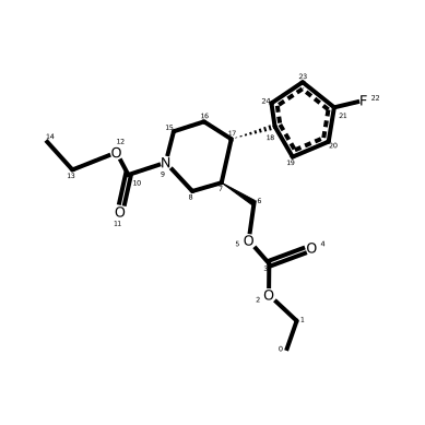 CCOC(=O)OC[C@H]1CN(C(=O)OCC)CC[C@@H]1c1ccc(F)cc1